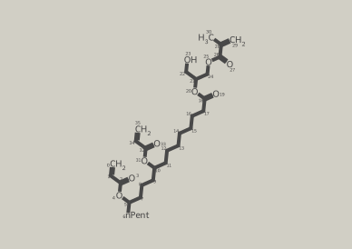 C=CC(=O)OC(CCCCC)CCCC(CCCCCCCC(=O)OC(CO)COC(=O)C(=C)C)OC(=O)C=C